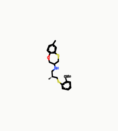 COc1ccccc1SC[C@H](C)CNC1COc2ccc(C)cc2SC1